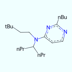 CCCCc1nccc(N(CCC(C)(C)C)C(CCC)CCC)n1